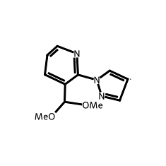 COC(OC)c1cccnc1-n1c[c]cn1